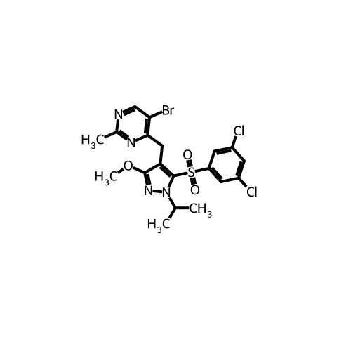 COc1nn(C(C)C)c(S(=O)(=O)c2cc(Cl)cc(Cl)c2)c1Cc1nc(C)ncc1Br